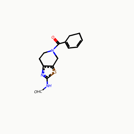 O=CNc1nc2c(s1)CN(C(=O)C1=CC=CCC1)CC2